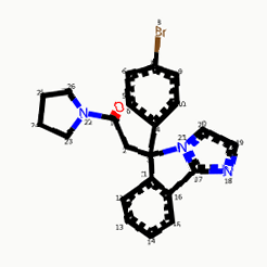 O=C(CC1(c2ccc(Br)cc2)c2ccccc2-c2nccn21)N1CCCC1